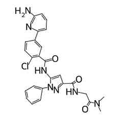 CN(C)C(=O)CNC(=O)c1cc(NC(=O)c2cc(-c3cccc(N)n3)ccc2Cl)n(-c2ccccc2)n1